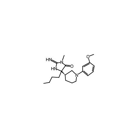 CCCCC1([C@@H]2CCCN(c3cccc(OC)c3)C2)NC(=N)N(C)C1=O